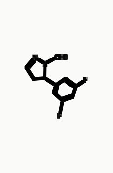 O=CN1N=CCC1c1cc(F)cc(F)c1